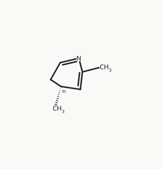 CC1=C[C@H](C)CC=N1